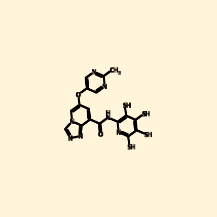 Cc1ncc(Oc2cc(C(=O)Nc3nc(S)c(S)c(S)c3S)c3nncn3c2)cn1